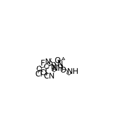 Cc1nc2c(F)c(-c3cccc(Cl)c3Cl)c(CCC#N)cc2c2c1cc(C1CC(OCC3CCCN3)CN1C(=O)C1CC1)n2C1C2CNC1C2